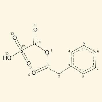 O=C(Cc1ccccc1)OC(=O)S(=O)(=O)O